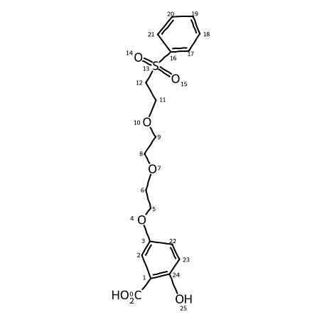 O=C(O)c1cc(OCCOCCOCCS(=O)(=O)c2ccccc2)ccc1O